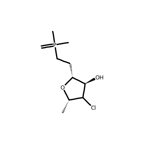 C=P(C)(C)CC[C@H]1O[C@@H](C)C(Cl)[C@@H]1O